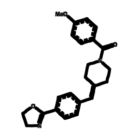 COc1ccc(C(=O)N2CCC(=Cc3ccc(C4=NCCO4)cc3)CC2)cc1